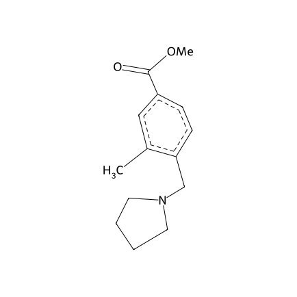 COC(=O)c1ccc(CN2CCCC2)c(C)c1